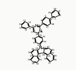 c1ccc(-c2ccc(-c3nc(-c4ccccc4)cc(-c4ccc(-n5c6ccc7ccccc7c6c6c7ccccc7ccc65)cc4)n3)cc2)cc1